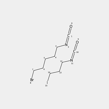 O=C=NCCCCCBr.O=C=NCCCI